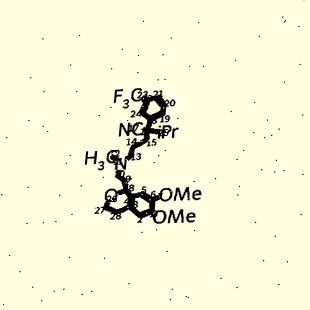 COc1cc2c(cc1OC)C(CCN(C)CCCC(C#N)(c1cccc(C(F)(F)F)c1)C(C)C)OCC2